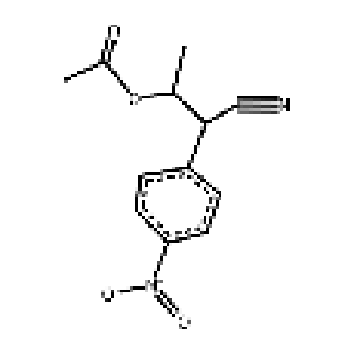 CC(=O)OC(C)C(C#N)c1ccc([N+](=O)[O-])cc1